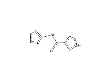 O=C(Nc1nccs1)c1cc[nH]c1